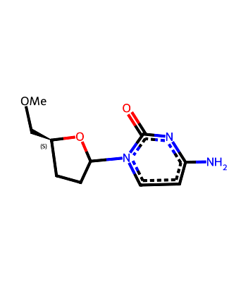 COC[C@@H]1CCC(n2ccc(N)nc2=O)O1